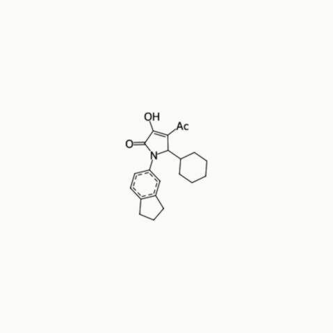 CC(=O)C1=C(O)C(=O)N(c2ccc3c(c2)CCC3)C1C1CCCCC1